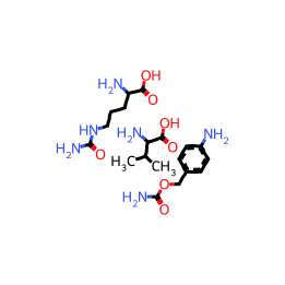 CC(C)C(N)C(=O)O.NC(=O)NCCCC(N)C(=O)O.NC(=O)OCc1ccc(N)cc1